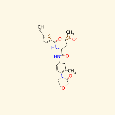 C#Cc1ccc(C(=O)NC(CC[S+](C)[O-])C(=O)Nc2ccc(N3CCOCC3=O)c(C)c2)s1